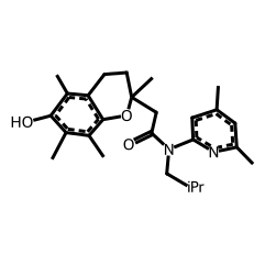 Cc1cc(C)nc(N(CC(C)C)C(=O)CC2(C)CCc3c(C)c(O)c(C)c(C)c3O2)c1